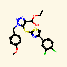 CCOC(O)c1nnn(Cc2ccc(OC)cc2)c1Sc1nc(-c2ccc(Cl)c(Cl)c2)cs1